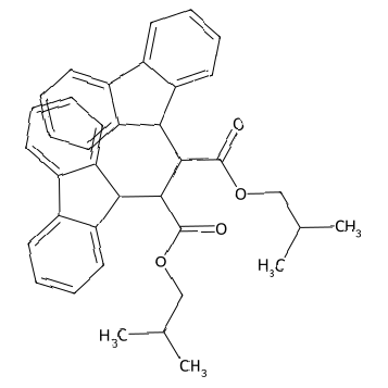 CC(C)COC(=O)C(C1c2ccccc2-c2ccccc21)C(C(=O)OCC(C)C)C1c2ccccc2-c2ccccc21